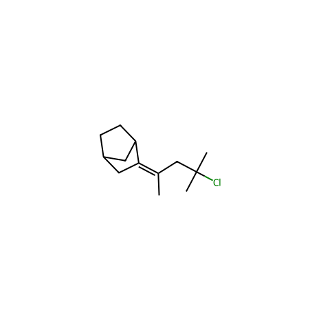 CC(CC(C)(C)Cl)=C1CC2CCC1C2